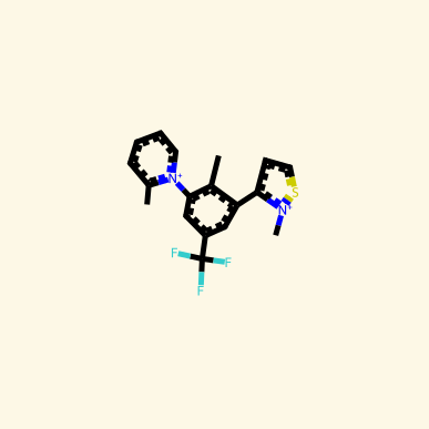 Cc1c(-c2ccs[n+]2C)cc(C(F)(F)F)cc1-[n+]1ccccc1C